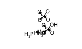 O=[Se](=O)(O)O.O=[Se](=O)([O-])[O-].P.P.[Mg+2]